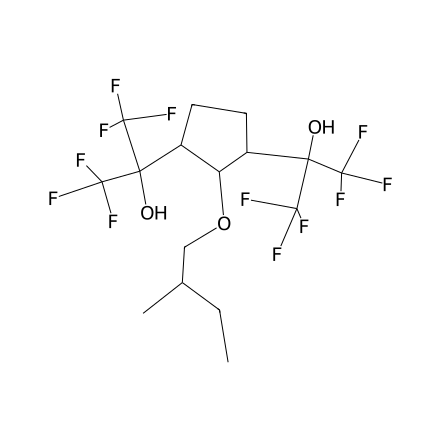 CCC(C)COC1C(C(O)(C(F)(F)F)C(F)(F)F)CCC1C(O)(C(F)(F)F)C(F)(F)F